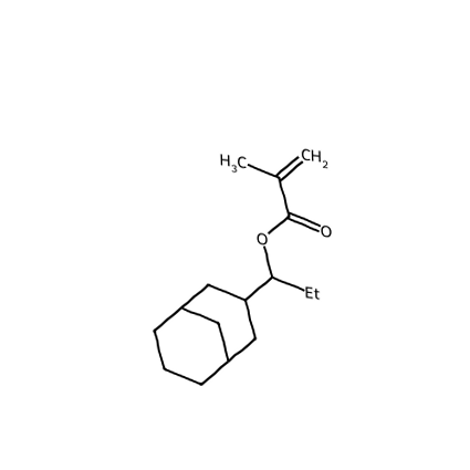 C=C(C)C(=O)OC(CC)C1CC2CCCC(C2)C1